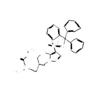 CN(CC1COc2c(S(N)(=O)=NC(c3ccccc3)(c3ccccc3)c3ccccc3)cnn2C1)C(=O)OC(C)(C)C